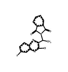 CC(c1nc2ccc(F)cc2nc1Cl)N1C(=O)c2ccccc2C1=O